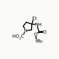 CCC1(NC(=O)OC(C)(C)C)CCN(C(=O)O)C1